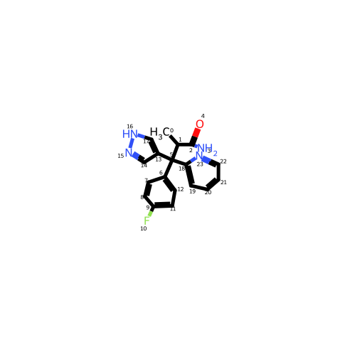 CC(C(N)=O)C(c1ccc(F)cc1)(c1cn[nH]c1)c1ccccn1